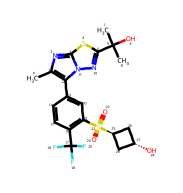 Cc1nc2sc(C(C)(C)O)nn2c1-c1ccc(C(F)(F)F)c(S(=O)(=O)[C@H]2C[C@H](O)C2)c1